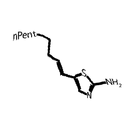 CCCCCCCC=Cc1cnc(N)s1